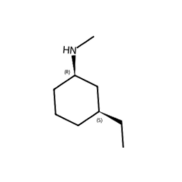 CC[C@H]1CCC[C@@H](NC)C1